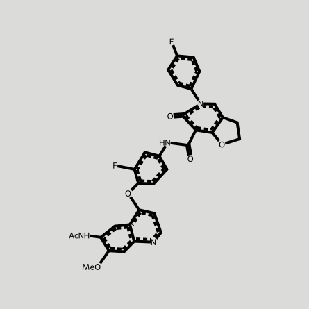 COc1cc2nccc(Oc3ccc(NC(=O)c4c5c(cn(-c6ccc(F)cc6)c4=O)CCO5)cc3F)c2cc1NC(C)=O